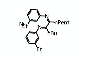 CCCCCC(=Nc1cccc(CC)c1)C(CCCC)=Nc1cccc(CC)c1.[Ni]